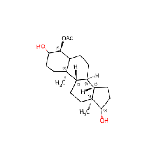 CC(=O)O[C@@H]1C(O)CC[C@@]2(C)C1CC[C@H]1[C@@H]3CC[C@H](O)[C@@]3(C)CC[C@@H]12